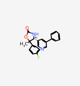 C[C@@]1(c2ccc(F)cc2)OC(=O)N[C@@H]1c1cncc(-c2ccccc2)c1